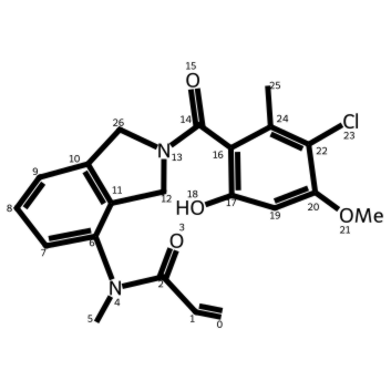 C=CC(=O)N(C)c1cccc2c1CN(C(=O)c1c(O)cc(OC)c(Cl)c1C)C2